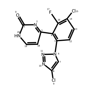 O=c1nc(-c2c(-n3cc(Cl)nn3)ccc(Cl)c2F)cc[nH]1